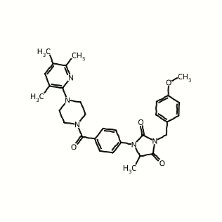 COc1ccc(CN2C(=O)C(C)N(c3ccc(C(=O)N4CCN(c5nc(C)c(C)cc5C)CC4)cc3)C2=O)cc1